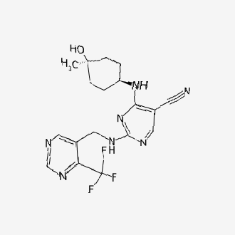 C[C@]1(O)CC[C@@H](Nc2nc(NCc3cncnc3C(F)(F)F)ncc2C#N)CC1